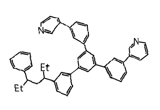 CCC(CC(CC)c1cccc(-c2cc(-c3cccc(-c4cccnc4)c3)cc(-c3cccc(-c4cccnc4)c3)c2)c1)c1ccccc1